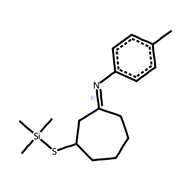 Cc1ccc(/N=C2\CCCCC(S[Si](C)(C)C)C2)cc1